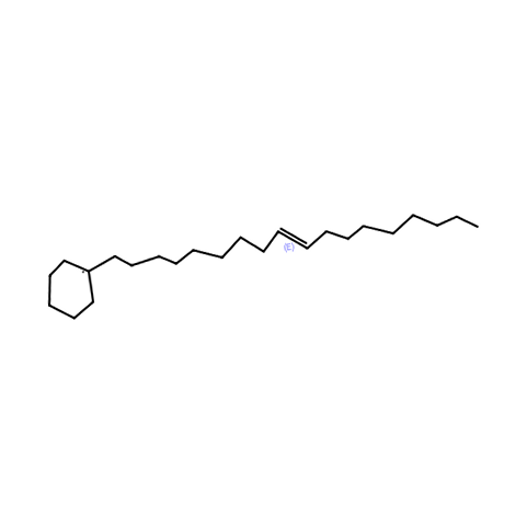 CCCCCCCC/C=C/CCCCCCCC[C]1CCCCC1